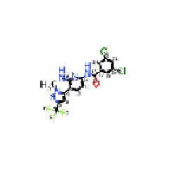 Cn1nc(C(F)(F)F)cc1-c1ccc(NC(=O)c2cc(Cl)cc(Cl)c2)nc1N